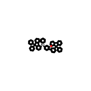 c1ccc(N(c2ccc3c(c2)sc2c(C4(c5ccccc5)c5ccccc5-c5ccccc54)cccc23)c2cccc3c2-c2ccccc2C3(c2ccccc2)c2ccccc2)cc1